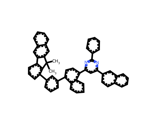 CC1(C)c2cc3ccccc3cc2-c2cccc(-c3cccc(-c4ccc(-c5cc(-c6ccc7ccccc7c6)nc(-c6ccccc6)n5)c5ccccc45)c3)c21